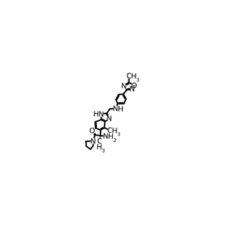 Cc1nc(-c2ccc(NCc3nc4c(C)c([C@@](C)(N)C(=O)N5CCCC5)ccc4[nH]3)cc2)no1